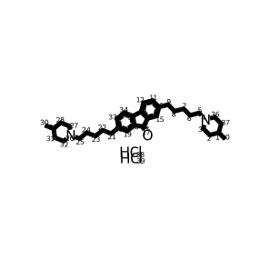 CC1CCN(CCCCCc2ccc3c(c2)C(=O)c2cc(CCCCCN4CCC(C)CC4)ccc2-3)CC1.Cl.Cl